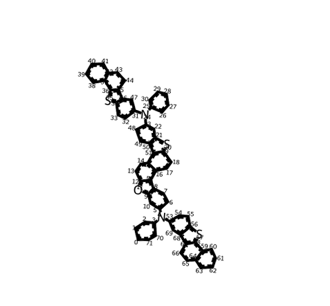 c1ccc(N(c2ccc3c(c2)oc2ccc4c(ccc5sc6cc(N(c7ccccc7)c7ccc8sc9c%10ccccc%10ccc9c8c7)ccc6c54)c23)c2ccc3sc4c5ccccc5ccc4c3c2)cc1